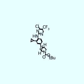 CC(C)(C)OC(=O)N1C[C@H]2C[C@@H]1CN2c1ccc(Nc2ncc(C(F)(F)F)c(Cl)n2)c(C2CC2)c1